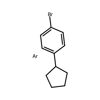 Brc1ccc(C2CCCC2)cc1.[Ar]